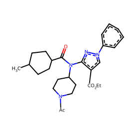 CCOC(=O)c1cn(-c2ccccc2)nc1N(C(=O)C1CCC(C)CC1)C1CCN(C(C)=O)CC1